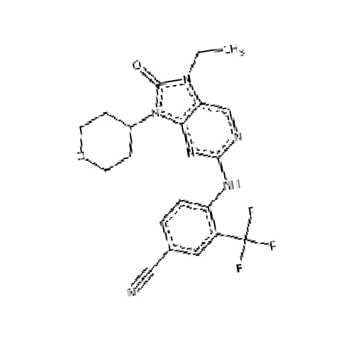 CCn1c(=O)n(C2CCOCC2)c2nc(Nc3ccc(C#N)cc3C(F)(F)F)ncc21